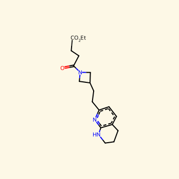 CCOC(=O)CCC(=O)N1CC(CCc2ccc3c(n2)NCCC3)C1